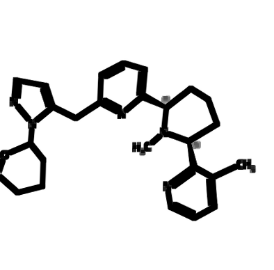 Cc1cccnc1[C@@H]1CCC[C@H](c2cccc(Cc3ccnn3C3CCCCO3)n2)N1C